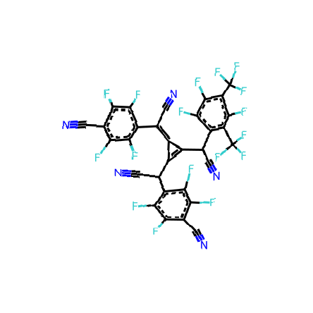 N#CC(=C1C(C(C#N)c2c(F)c(F)c(C#N)c(F)c2F)=C1C(C#N)c1c(F)c(F)c(C(F)(F)F)c(F)c1C(F)(F)F)c1c(F)c(F)c(C#N)c(F)c1F